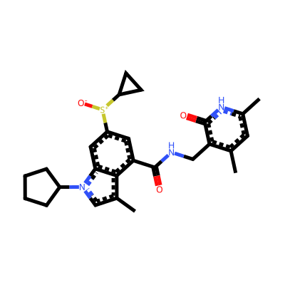 Cc1cc(C)c(CNC(=O)c2cc([S+]([O-])C3CC3)cc3c2c(C)cn3C2CCCC2)c(=O)[nH]1